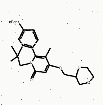 CCCCCc1ccc2c(c1)C(C)(C)Cn1c-2c(C)c(OCC2COCCO2)cc1=O